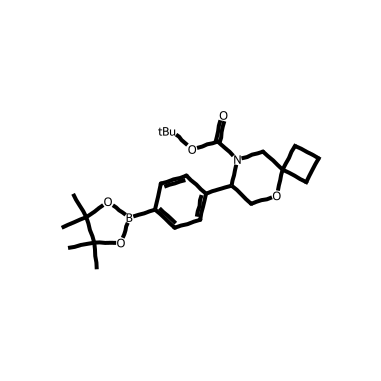 CC(C)(C)OC(=O)N1CC2(CCC2)OCC1c1ccc(B2OC(C)(C)C(C)(C)O2)cc1